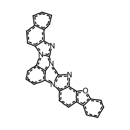 c1ccc2c(c1)ccc1c2nc2n1c1cccc3c1n2c1nc2c4oc5ccccc5c4ccc2n31